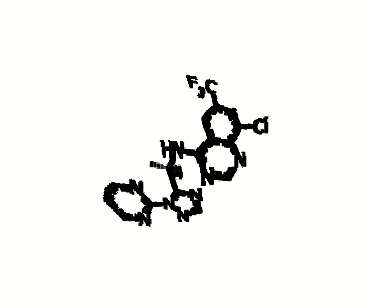 C[C@H](Nc1ncnc2c(Cl)cc(C(F)(F)F)cc12)c1ncnn1-c1ncccn1